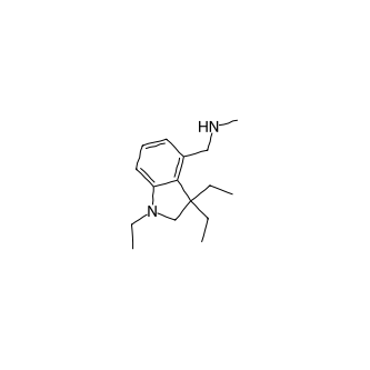 CCN1CC(CC)(CC)c2c(CNC)cccc21